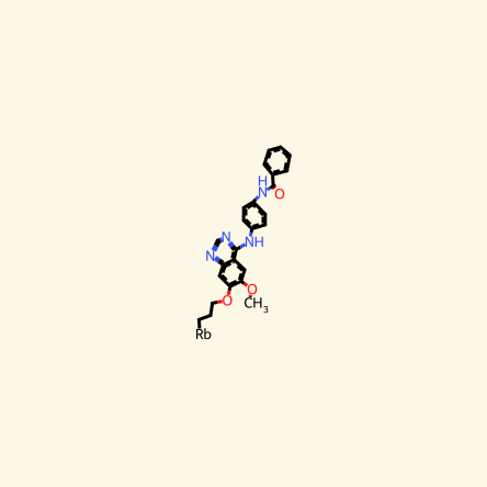 COc1cc2c(Nc3ccc(NC(=O)c4ccccc4)cc3)ncnc2cc1OCC[CH2][Rb]